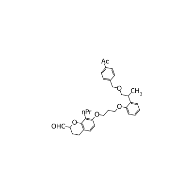 CCCc1c(OCCCOc2ccccc2C(C)COCc2ccc(C(C)=O)cc2)ccc2c1OC(C=O)CC2